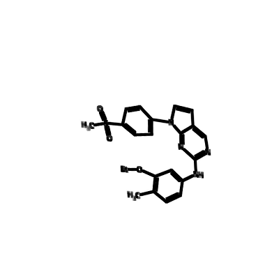 CCOc1cc(Nc2ncc3ccn(-c4ccc(S(C)(=O)=O)cc4)c3n2)ccc1C